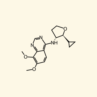 COc1ccc2c(N[C@@H]3CCO[C@H]3C3CC3)ncnc2c1OC